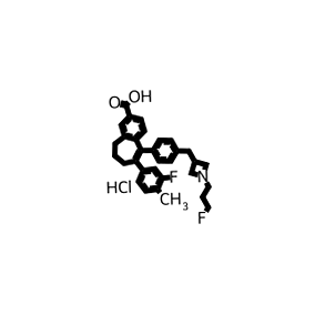 Cc1ccc(C2=C(c3ccc(CC4CN(CCCF)C4)cc3)c3ccc(C(=O)O)cc3CCC2)cc1F.Cl